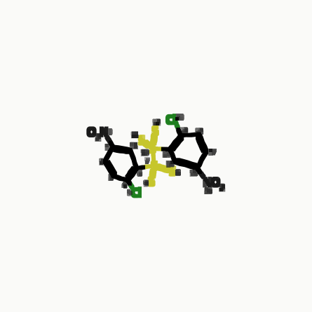 O=[N+]([O-])c1ccc(Cl)c(S(=S)(=S)S(=S)(=S)c2cc([N+](=O)[O-])ccc2Cl)c1